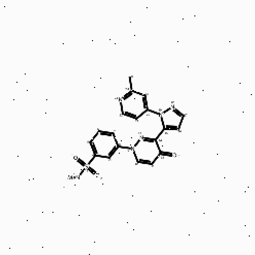 CNS(=O)(=O)c1cccc(-n2ccc(=O)c(-c3ccnn3-c3ccnc(C)c3)n2)c1